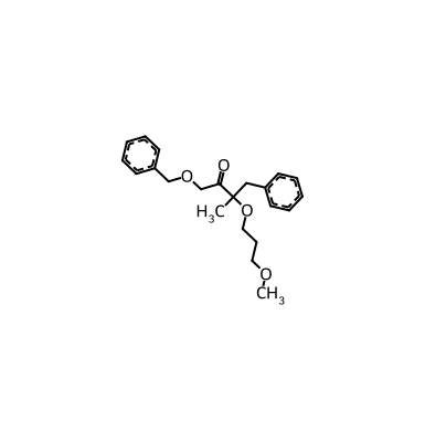 COCCCOC(C)(Cc1ccccc1)C(=O)COCc1ccccc1